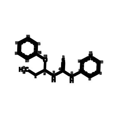 CCC(NC(=S)Nc1cccnc1)Oc1ccccc1